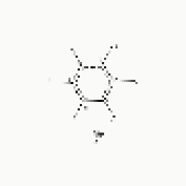 Cc1c(C)c(C)c(C)c(C)c1C.[Rh]